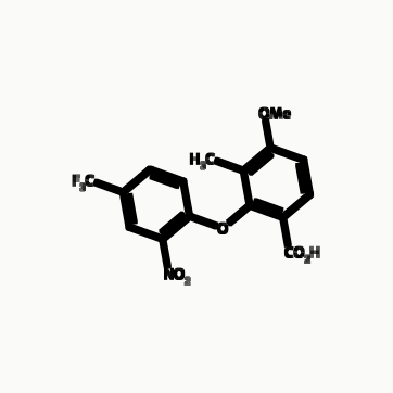 COc1ccc(C(=O)O)c(Oc2ccc(C(F)(F)F)cc2[N+](=O)[O-])c1C